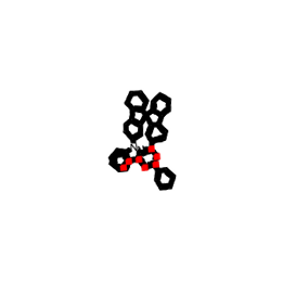 C1=CC2=C(CC1)C1=C(C=C(n3c4ccccc4c4cnccc43)CC1)C21c2ccccc2-c2ccc(-c3nc(-c4ccccc4)nc(-c4ccccc4)n3)cc21